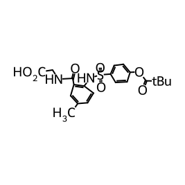 Cc1ccc(NS(=O)(=O)c2ccc(OC(=O)C(C)(C)C)cc2)c(C(=O)NCC(=O)O)c1